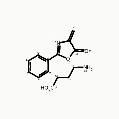 C=C1N=C(c2ccccc2)OC1=O.NCCCC(=O)O